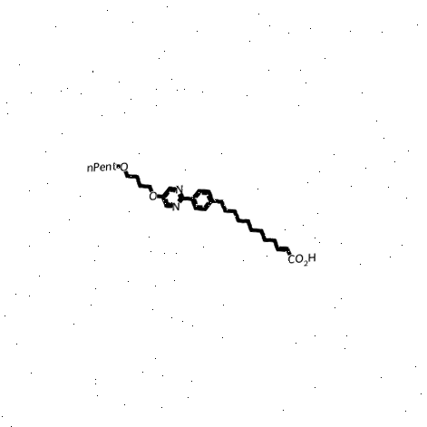 CCCCCOCCCCOc1cnc(-c2ccc(CCCCCCCCC/C=C/C(=O)O)cc2)nc1